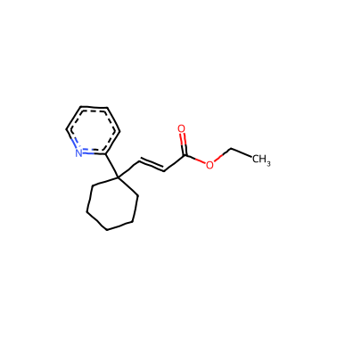 CCOC(=O)C=CC1(c2ccccn2)CCCCC1